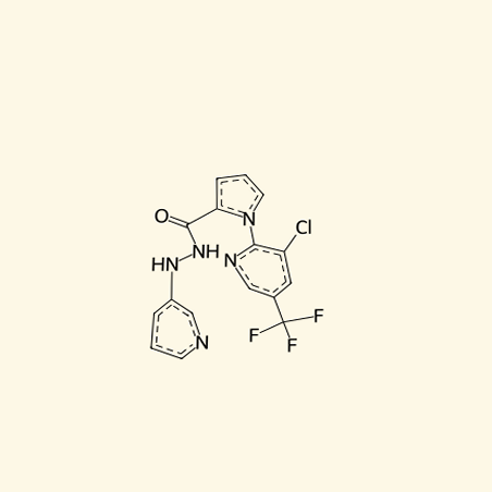 O=C(NNc1cccnc1)c1cccn1-c1ncc(C(F)(F)F)cc1Cl